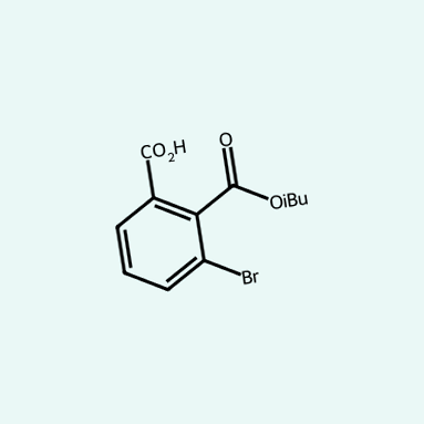 CC(C)COC(=O)c1c(Br)cccc1C(=O)O